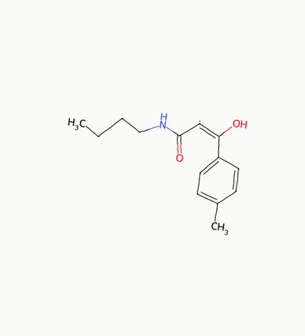 CCCCNC(=O)/[C]=C(/O)c1ccc(C)cc1